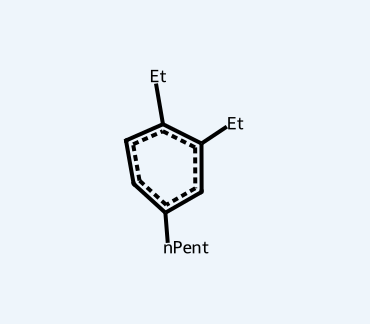 [CH2]CCCCc1ccc(CC)c(CC)c1